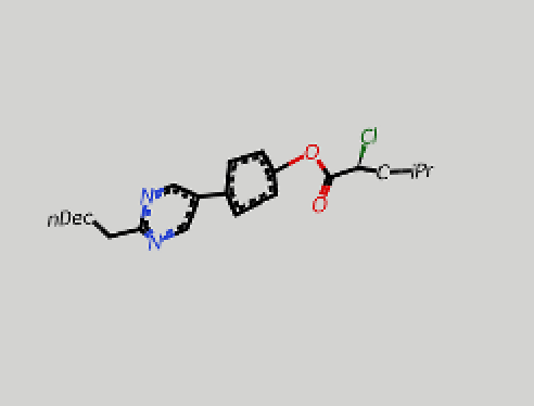 CCCCCCCCCCCc1ncc(-c2ccc(OC(=O)[C@@H](Cl)CC(C)C)cc2)cn1